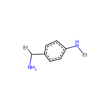 CCNc1ccc(C(N)CC)cc1